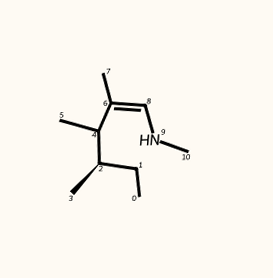 CC[C@@H](C)C(C)/C(C)=C\NC